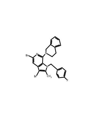 Cc1c(Br)c2cc(Br)nc(N3CCc4ccccc4C3)c2n1Cc1ccc(F)cc1